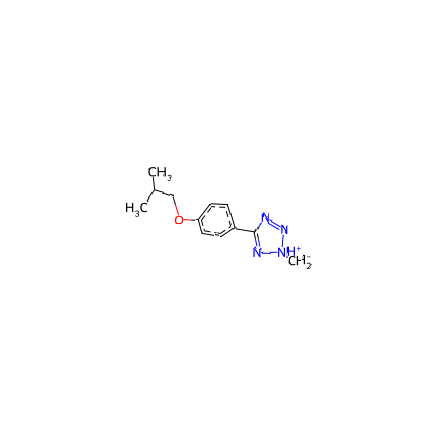 [CH2-][NH+]1N=NC(c2ccc(OCC(C)C)cc2)=N1